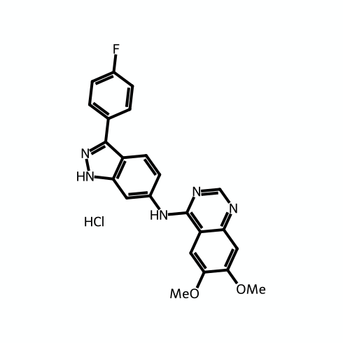 COc1cc2ncnc(Nc3ccc4c(-c5ccc(F)cc5)n[nH]c4c3)c2cc1OC.Cl